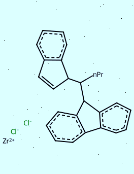 CCCC(C1C=Cc2ccccc21)C1c2ccccc2-c2ccccc21.[Cl-].[Cl-].[Zr+2]